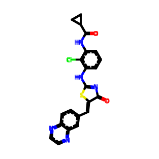 O=C1N=C(Nc2cccc(NC(=O)C3CC3)c2Cl)S/C1=C\c1ccc2nccnc2c1